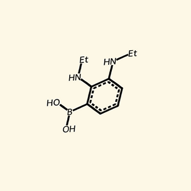 CCNc1cccc(B(O)O)c1NCC